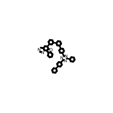 c1ccc(-c2ccc(-c3nc(-c4ccccc4)nc(-c4ccc(-c5cccc(-c6cccc(-c7cc8cncnc8c8c7oc7ccccc78)c6)c5)cc4)n3)cc2)cc1